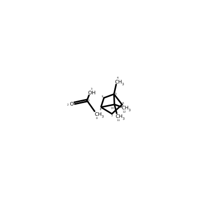 CC(=O)O.CC12CCC(C1)C2(C)C